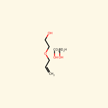 C=CCOCCO.O=C(O)O.O=C(O)O